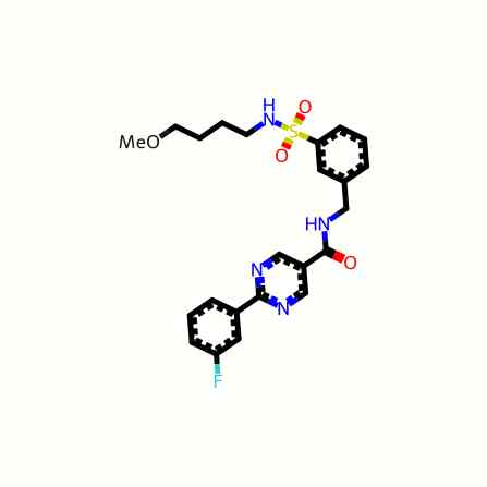 COCCCCNS(=O)(=O)c1cccc(CNC(=O)c2cnc(-c3cccc(F)c3)nc2)c1